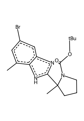 Cc1cc(Br)cc2nc(C3(C)CCCN3C(=O)OC(C)(C)C)[nH]c12